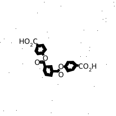 O=C(O)c1ccc(OC(=O)c2cccc(C(=O)Oc3ccc(C(=O)O)cc3)c2)cc1